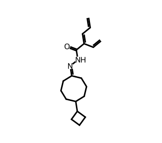 C=C/C=C(\C=C)C(=O)NN=C1CCCC(C2CCC2)CCC1